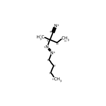 CCCCN=NC(C)(C#N)CC